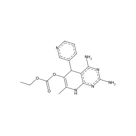 CCOC(=O)OC1=C(C)Nc2nc(N)nc(N)c2C1c1cccnc1